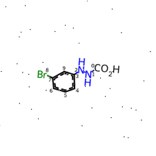 O=C(O)NNc1cccc(Br)c1